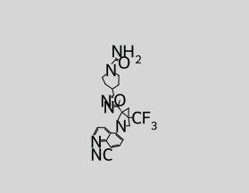 N#Cc1ccc(N2C[C@]3(c4nnc(C5CCN(CC(N)=O)CC5)o4)C[C@]3(C(F)(F)F)C2)c2cccnc12